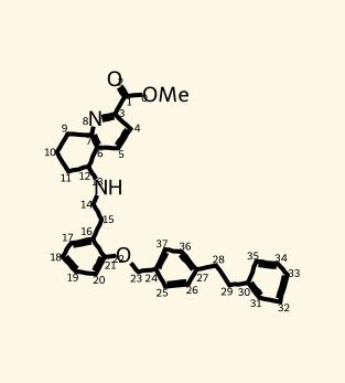 COC(=O)c1ccc2c(n1)CCCC2NCCc1ccccc1OCc1ccc(CCc2ccccc2)cc1